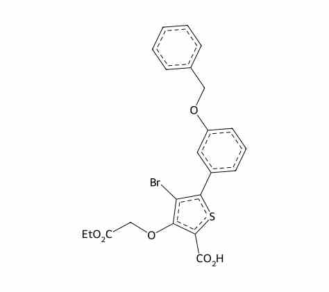 CCOC(=O)COc1c(C(=O)O)sc(-c2cccc(OCc3ccccc3)c2)c1Br